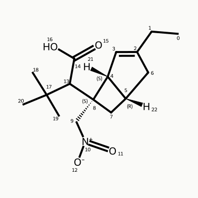 CCC1=C[C@@H]2[C@H](C1)C[C@@]2(C[N+](=O)[O-])C(C(=O)O)C(C)(C)C